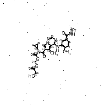 CCCNC(=O)c1ccc(C)c(Nc2ncnn3cc(C(=O)N(C(=O)OCOC(=O)CO)C4CC4)c(C)c23)c1